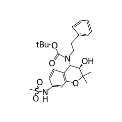 CC(C)(C)OC(=O)N(CCc1ccccc1)[C@H]1c2ccc(NS(C)(=O)=O)cc2OC(C)(C)[C@@H]1O